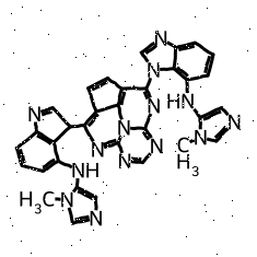 Cn1cncc1Nc1cccc2c1C(c1nc3ncnc4nc(-n5cnc6cccc(Nc7cncn7C)c65)c5ccc1c5n34)C=N2